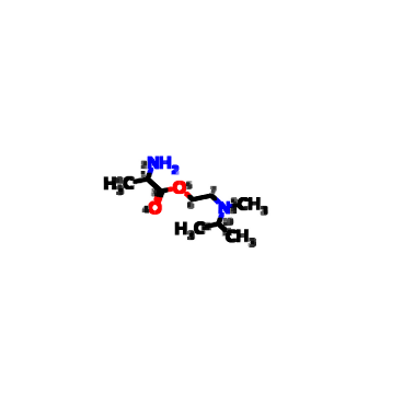 CC(N)C(=O)OCCN(C)C(C)C